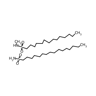 CCCCCCCCCCCCCCCCS(N)(=O)=O.CCCCCCCCCCCCCCS(=O)(=O)NC